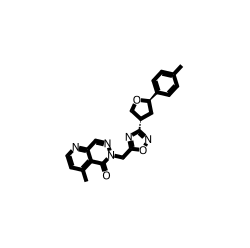 Cc1ccc([C@H]2C[C@H](c3noc(Cn4ncc5nccc(C)c5c4=O)n3)CO2)cc1